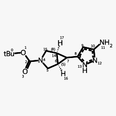 CC(C)(C)OC(=O)N1C[C@@H]2C(c3cc(N)n[nH]3)[C@@H]2C1